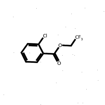 O=C(OCC(F)(F)F)c1ccccc1Cl